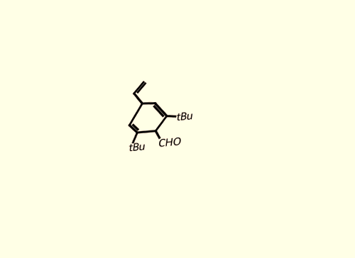 C=CC1C=C(C(C)(C)C)C(C=O)C(C(C)(C)C)=C1